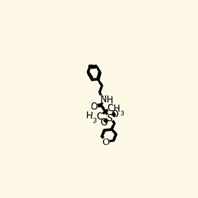 CC(C)(C(=O)NCCc1ccccc1)S(=O)(=O)CC1CCOCC1